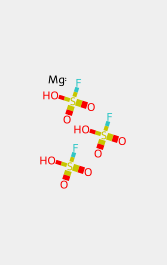 O=S(=O)(O)F.O=S(=O)(O)F.O=S(=O)(O)F.[Mg]